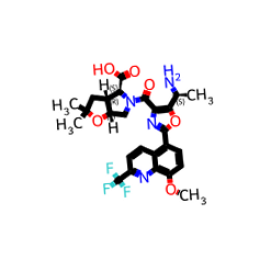 COc1ccc(-c2nc(C(=O)N3C[C@@H]4OC(C)(C)C[C@@H]4[C@H]3C(=O)O)c([C@H](C)N)o2)c2ccc(C(F)(F)F)nc12